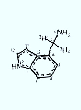 [2H]C([2H])(N)c1cccc2[nH]ccc12